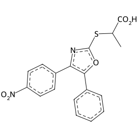 CC(Sc1nc(-c2ccc([N+](=O)[O-])cc2)c(-c2ccccc2)o1)C(=O)O